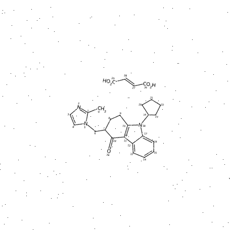 Cc1nccn1CC1CCc2c(c3ccccc3n2C2CCCC2)C1=O.O=C(O)C=CC(=O)O